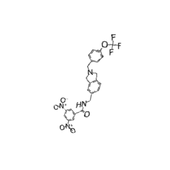 O=C(NCc1ccc2c(c1)CN(Cc1ccc(OC(F)(F)F)cc1)C2)c1cc([N+](=O)[O-])cc([N+](=O)[O-])c1